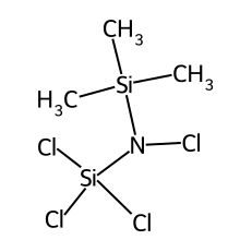 C[Si](C)(C)N(Cl)[Si](Cl)(Cl)Cl